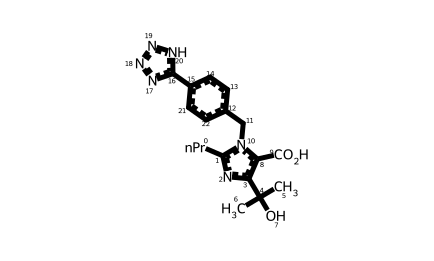 CCCc1nc(C(C)(C)O)c(C(=O)O)n1Cc1ccc(-c2nnn[nH]2)cc1